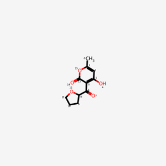 Cc1cc(O)c(C(=O)C2CCCO2)c(=O)o1